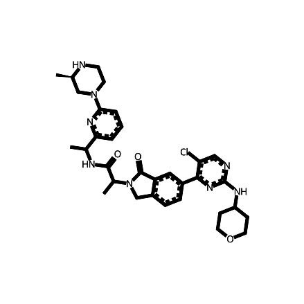 CC(NC(=O)C(C)N1Cc2ccc(-c3nc(NC4CCOCC4)ncc3Cl)cc2C1=O)c1cccc(N2CCN[C@H](C)C2)n1